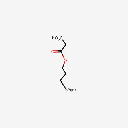 CCCCCCCCOC(=O)CC(=O)O